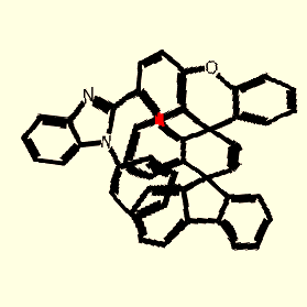 c1ccc(-n2c(-c3ccc4c(c3)C3(c5ccccc5O4)c4ccccc4C4(c5ccccc5-c5ccccc54)c4ccccc43)nc3ccccc32)cc1